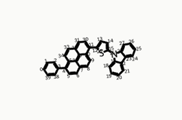 c1ccc(-c2ccc3ccc4c(-c5ccc(-n6c7ccccc7c7ccccc76)s5)ccc5ccc2c3c54)cc1